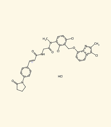 Cc1nc2c(OCc3c(Cl)ccc(N(C)C(=O)CNC(=O)/C=C/c4ccc(N5CCCC5=O)cc4)c3Cl)cccn2c1Cl.Cl